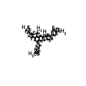 C=CC(=O)N1CC[C@@H](c2cc(N3CC(CS(C)(=O)=O)C3)c3cnc(Nc4ccnc(N5CC[C@@H](OC)[C@@H](F)C5)n4)cc3c2C(C)C)C1